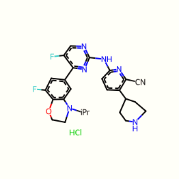 CC(C)N1CCOc2c(F)cc(-c3nc(Nc4ccc(C5CCNCC5)c(C#N)n4)ncc3F)cc21.Cl